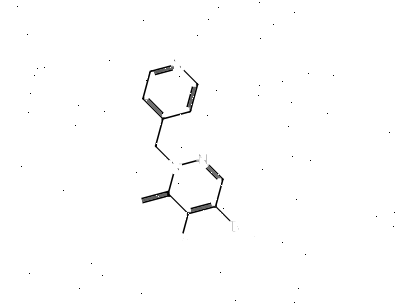 BC1=C(Br)C(=C)N(Cc2ccncc2)N=C1